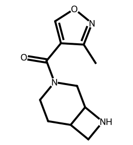 Cc1nocc1C(=O)N1CCC2CNC2C1